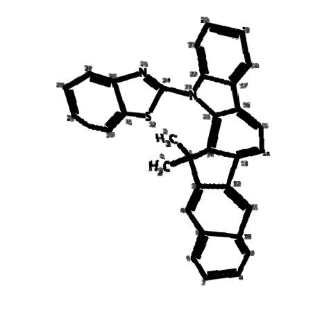 CC1(C)c2cc3ccccc3cc2-c2ccc3c4ccccc4n(-c4nc5ccccc5s4)c3c21